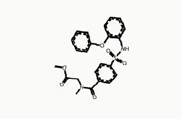 COC(=O)CN(C)C(=O)c1ccc(S(=O)(=O)Nc2ccccc2Oc2ccccc2)cc1